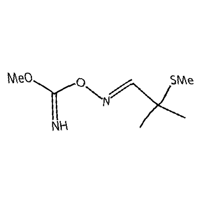 COC(=N)ON=CC(C)(C)SC